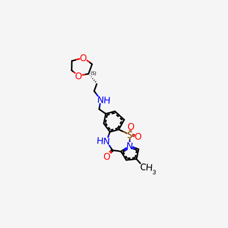 Cc1cc2n(c1)S(=O)(=O)c1ccc(CNCC[C@H]3COCCO3)cc1NC2=O